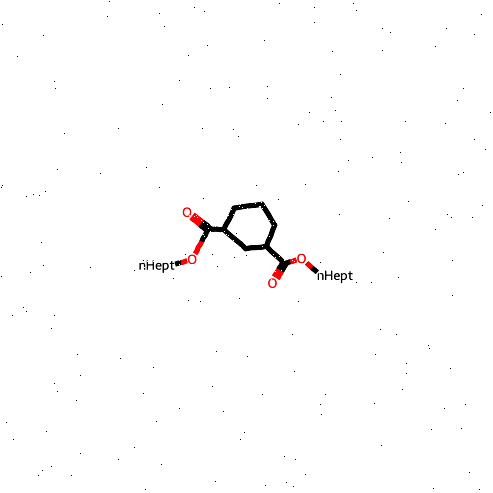 CCCCCCCOC(=O)C1CCCC(C(=O)OCCCCCCC)C1